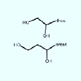 CCCCCC(O)CCO.CCCCCCC(O)CO